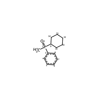 CP(=O)(c1ccccc1)C1CCCCC1